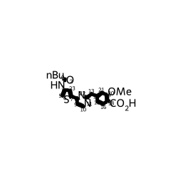 CCCCC(=O)Nc1csc(-c2ccnc(Cc3ccc(C(=O)O)c(OC)c3)n2)c1